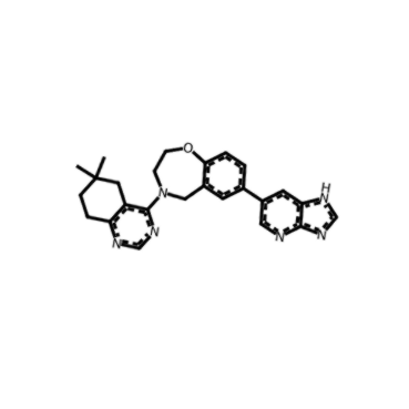 CC1(C)CCc2ncnc(N3CCOc4ccc(-c5cnc6nc[nH]c6c5)cc4C3)c2C1